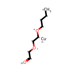 CCCCOCCOCC=O.[Cu]